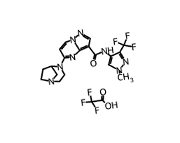 Cn1cc(NC(=O)c2cnn3ccc(N4CCN5CCC4C5)nc23)c(C(F)(F)F)n1.O=C(O)C(F)(F)F